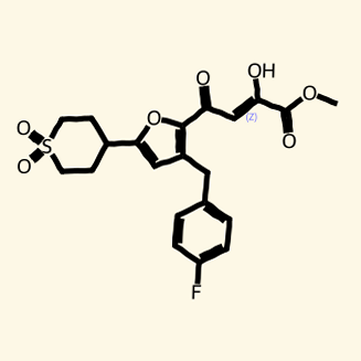 COC(=O)/C(O)=C/C(=O)c1oc(C2CCS(=O)(=O)CC2)cc1Cc1ccc(F)cc1